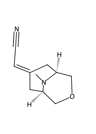 CN1[C@@H]2COC[C@H]1CC(=CC#N)C2